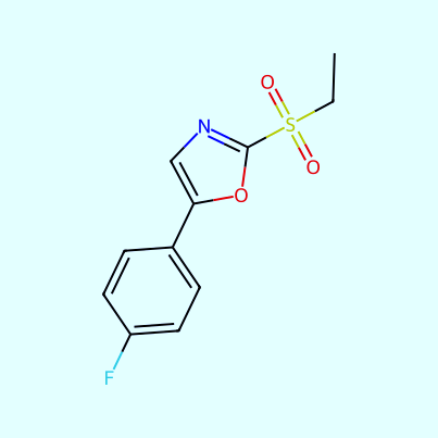 CCS(=O)(=O)c1ncc(-c2ccc(F)cc2)o1